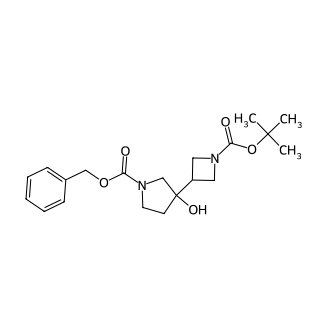 CC(C)(C)OC(=O)N1CC(C2(O)CCN(C(=O)OCc3ccccc3)C2)C1